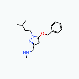 CNCc1cc(OCc2ccccc2)n(CCC(C)C)n1